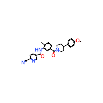 COc1ccc(C2CCN(C(=O)c3ccc(C)c(NC(=O)c4ccc(C#N)nc4)c3)CC2)cc1